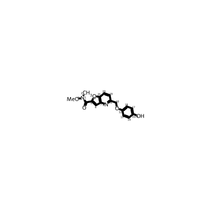 CON(C)C(=O)c1cc2nc(COc3ccc(O)cc3)ccc2o1